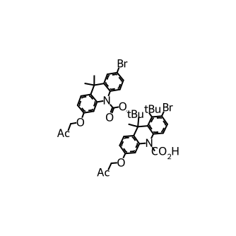 CC(=O)COc1ccc2c(c1)N(C(=O)O)c1ccc(Br)c(C(C)(C)C)c1C2(C)C.CC(=O)COc1ccc2c(c1)N(C(=O)OC(C)(C)C)c1ccc(Br)cc1C2(C)C